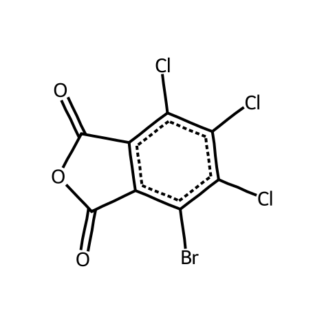 O=C1OC(=O)c2c(Br)c(Cl)c(Cl)c(Cl)c21